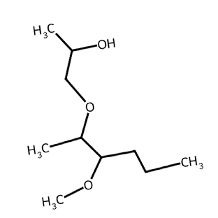 CCCC(OC)C(C)OCC(C)O